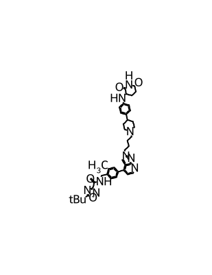 Cc1cc(-c2ccnc3nn(CCCCN4CCC(c5ccc(NC6CCC(=O)NC6=O)cc5)CC4)cc23)ccc1CNC(=O)c1noc(C(C)(C)C)n1